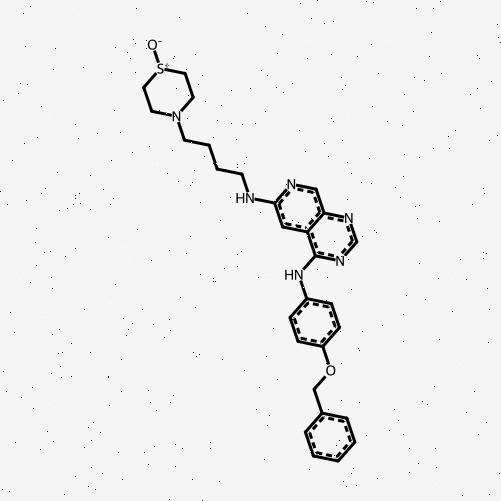 [O-][S+]1CCN(CCCCNc2cc3c(Nc4ccc(OCc5ccccc5)cc4)ncnc3cn2)CC1